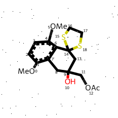 COc1ccc(OC)c2c1CC(O)(COC(C)=O)CC21SCCS1